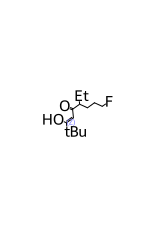 CCC(CCCF)C(=O)/C=C(\O)C(C)(C)C